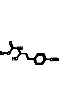 COc1ccc(CCC(O)NC(=O)OC(C)(C)C)cc1